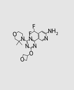 CC1(C)COCCN1c1nc(OC2COC2)nc(-c2cnc(N)cc2C(F)F)n1